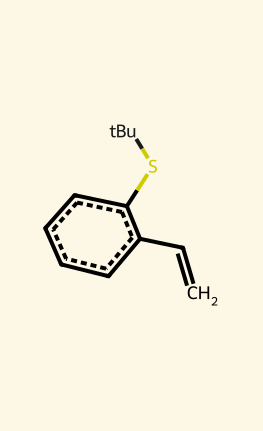 C=Cc1ccccc1SC(C)(C)C